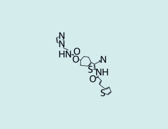 N#Cc1c(NC(=O)C=Cc2cccs2)sc2c1CCC(OC(=O)NCCn1ccnc1)C2